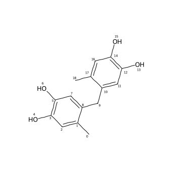 Cc1cc(O)c(O)cc1Cc1cc(O)c(O)cc1C